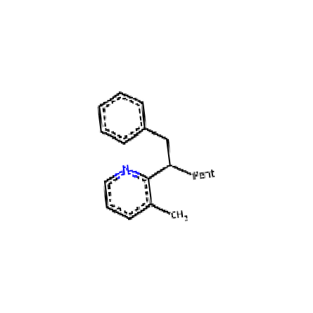 CCCC(C)C(Cc1ccccc1)c1ncccc1C